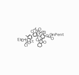 CC1COc2ccccc2N1C(=O)C(Cl)Cl.CCCCCOC(=O)COc1cc(N2C(=O)C3=C(CCCC3)C2=O)c(F)cc1Cl.CCOCN(C(=O)CCl)c1c(C)cccc1CC